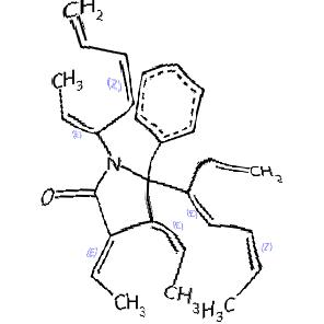 C=C/C=C\C(=C/C)N1C(=O)C(=C/C)/C(=C\C)C1(/C(C=C)=C/C=C\C)c1ccccc1